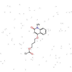 CCCn1c(=O)cc(OCCCCOC(=O)CC)c2ccccc21